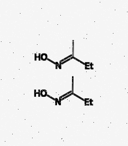 CCC(C)=NO.CCC(C)=NO